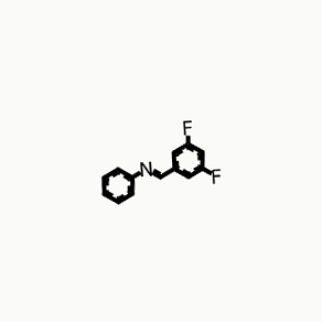 Fc1cc(F)cc(C=Nc2ccccc2)c1